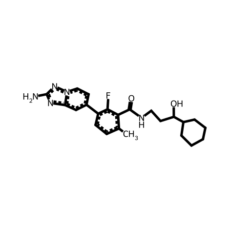 Cc1ccc(-c2ccn3nc(N)nc3c2)c(F)c1C(=O)NCCC(O)C1CCCCC1